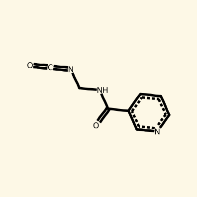 O=C=NCNC(=O)c1cccnc1